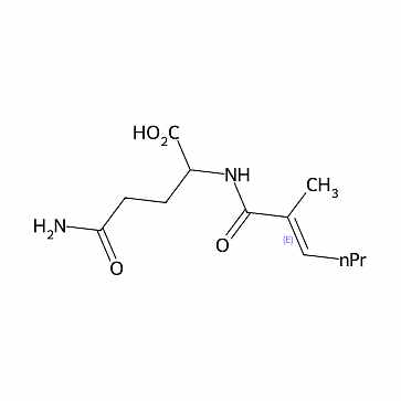 CCC/C=C(\C)C(=O)NC(CCC(N)=O)C(=O)O